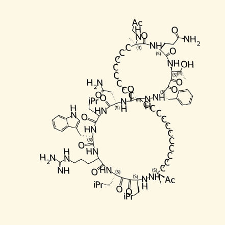 CC(=O)CN[C@]1(C)CCCCCCCC[C@@]2(CCCCCCCCCCC[C@@](C)(C(C)=O)NN[C@@H](CC(C)C)C(=O)C(=O)[C@H](CC(C)C)NC(=O)C(CCCNC(=N)N)NC(=O)[C@H](Cc3c[nH]c4ccccc34)NC(=O)C(CC(C)C)NC(=O)[C@H](CC(N)=O)NC2=O)NN[C@@H](Cc2ccccc2)C(=O)C(=O)[C@H]([C@@H](C)O)NC(=O)[C@H](CCC(N)=O)NC1=O